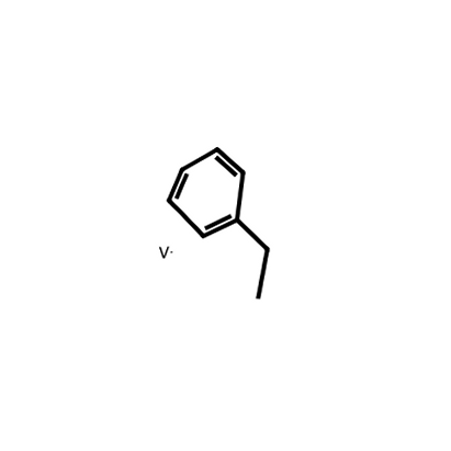 CCc1ccccc1.[V]